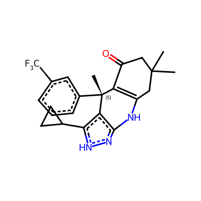 CC1(C)CC(=O)C2=C(C1)Nc1n[nH]c(C3CC3)c1[C@]2(C)c1cccc(C(F)(F)F)c1